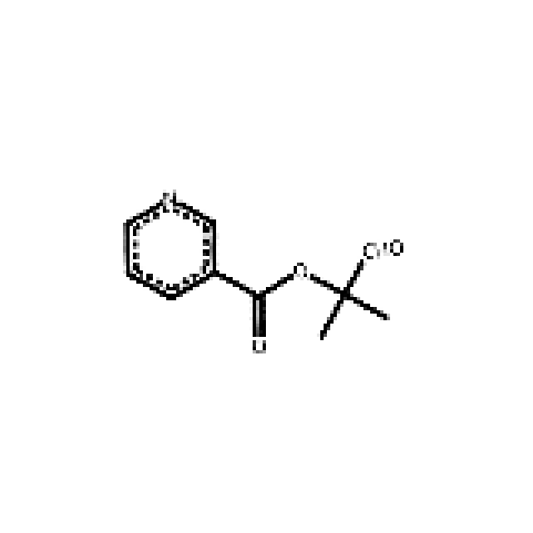 CC(C)(C=O)OC(=O)c1cccnc1